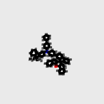 CC1(C)c2ccccc2-c2cc(N(c3ccc(-c4ccccc4)cc3)c3ccc(-c4ccc5c(c4)C4(c6ccccc6-5)c5ccc6ccccc6c5Oc5c4ccc4ccccc54)cc3)ccc21